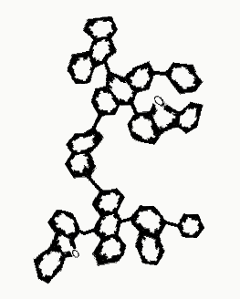 c1ccc(-c2ccc3c(-c4cc5ccccc5c5ccccc45)c4ccc(-c5ccc6ccc(-c7ccc8c(-c9ccc(-c%10ccccc%10)c%10ccccc9%10)c9ccccc9c(-c9cccc%10c9oc9ccccc9%10)c8c7)cc6c5)cc4c(-c4cccc5c4oc4ccccc45)c3c2)cc1